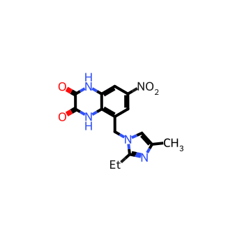 CCc1nc(C)cn1Cc1cc([N+](=O)[O-])cc2[nH]c(=O)c(=O)[nH]c12